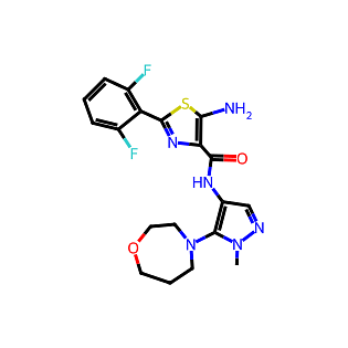 Cn1ncc(NC(=O)c2nc(-c3c(F)cccc3F)sc2N)c1N1CCCOCC1